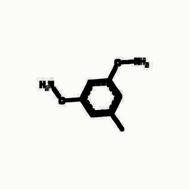 Cc1cc(ON)cc(ON)c1